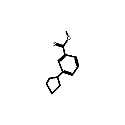 COC(=S)c1cccc(C2CCCC2)c1